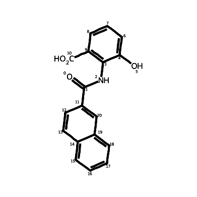 O=C(Nc1c(O)cccc1C(=O)O)c1ccc2ccccc2c1